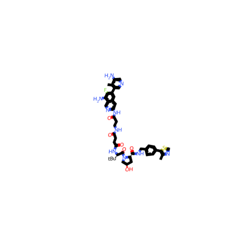 Cc1ncsc1-c1ccc(CNC(=O)[C@@H]2C[C@@H](O)CN2C(=O)[C@@H](NC(=O)CCC(=O)NCCC(=O)Nc2cc3cc(-c4cncc(N)c4C)c(F)c(N)c3cn2)C(C)(C)C)cc1